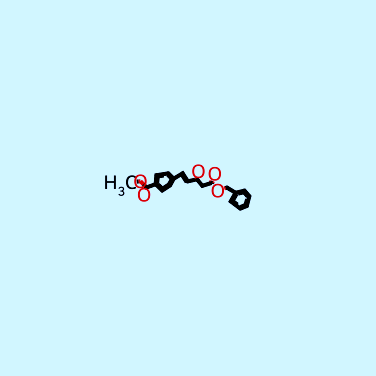 COC(=O)c1ccc(C=CC(=O)CC(=O)OCc2ccccc2)cc1